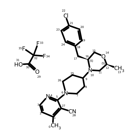 Cc1ccnc(N2CCC(N3C[C@H](C)OC[C@@H]3Cc3ccc(Cl)cc3)CC2)c1C#N.O=C(O)C(F)(F)F